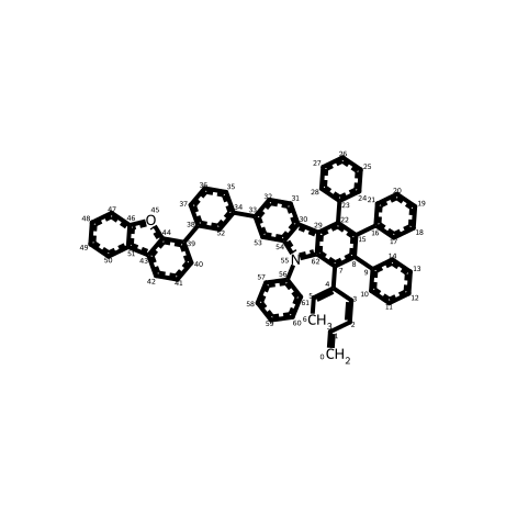 C=C/C=C\C(=C/C)c1c(-c2ccccc2)c(-c2ccccc2)c(-c2ccccc2)c2c3ccc(-c4cccc(-c5cccc6c5oc5ccccc56)c4)cc3n(-c3ccccc3)c12